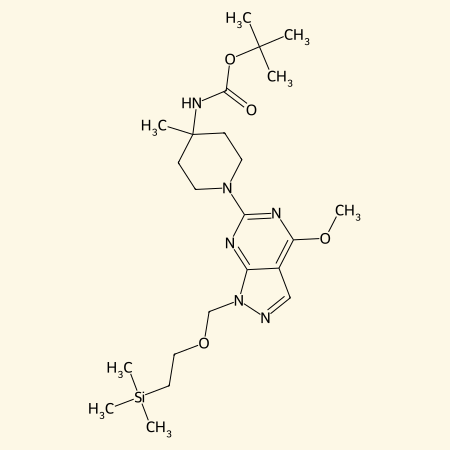 COc1nc(N2CCC(C)(NC(=O)OC(C)(C)C)CC2)nc2c1cnn2COCC[Si](C)(C)C